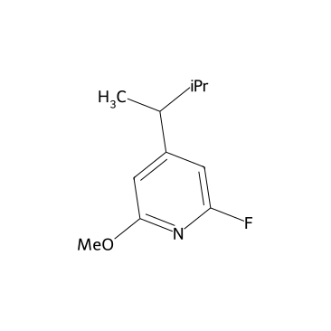 COc1cc(C(C)C(C)C)cc(F)n1